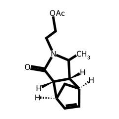 CC(=O)OCCN1C(=O)[C@@H]2[C@H](C1C)[C@H]1C=C[C@@H]2C1